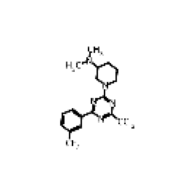 CN(C)C1CCCN(c2nc(-c3cccc(C(F)(F)F)c3)nc(C(Cl)(Cl)Cl)n2)C1